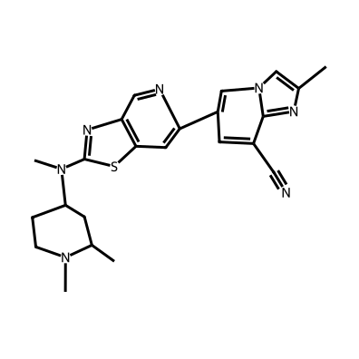 Cc1cn2cc(-c3cc4sc(N(C)C5CCN(C)C(C)C5)nc4cn3)cc(C#N)c2n1